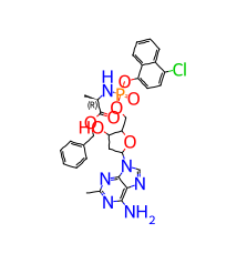 Cc1nc(N)c2ncn(C3CC(O)C(COP(=O)(N[C@H](C)C(=O)OCc4ccccc4)Oc4ccc(Cl)c5ccccc45)O3)c2n1